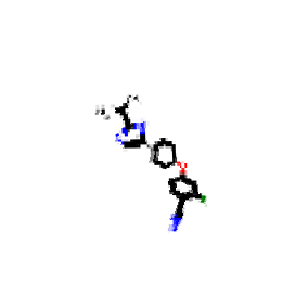 CC(C)c1ncc([C@H]2CC[C@H](Oc3ccc(C#N)c(Cl)c3)CC2)[nH]1